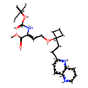 COC(=O)C(=CCOC1(CCc2ccc3ncccc3n2)CCC1)NC(=O)OC(C)(C)C